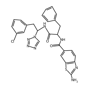 Nc1nc2ccc(C(=O)NC(Cc3ccccc3)C(=O)NC(Cc3cccc(Cl)c3)n3cnnn3)cc2s1